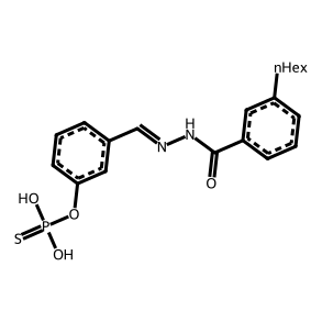 CCCCCCc1cccc(C(=O)NN=Cc2cccc(OP(O)(O)=S)c2)c1